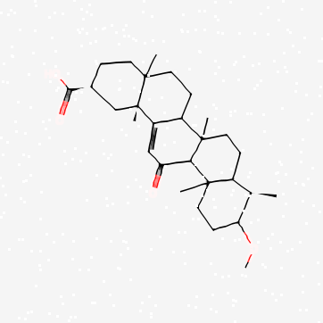 COC1CCC2(C)C(CCC3(C)C4CCC5(C)CC[C@H](C(=O)O)C[C@H]5C4=CC(=O)C32)[C@H]1C